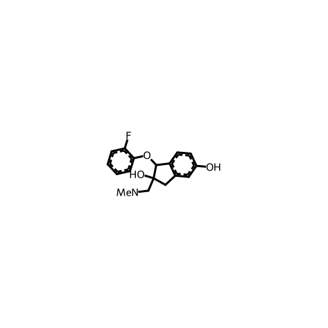 CNCC1(O)Cc2cc(O)ccc2C1Oc1ccccc1F